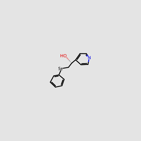 O[C@@H](C[Se]c1ccccc1)c1ccncc1